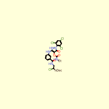 CCCCCCCCCCC(Cl)CNC(=O)c1cccc(Nc2[nH]n(-c3c(Cl)cc(Cl)cc3Cl)c(=O)c2OC(=O)NCC)c1